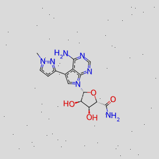 Cn1ccc(-c2cn([C@@H]3O[C@H](C(N)=O)[C@@H](O)[C@H]3O)c3ncnc(N)c23)n1